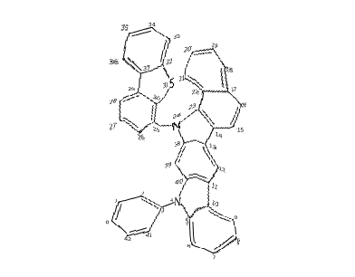 c1ccc(-n2c3ccccc3c3cc4c5ccc6ccccc6c5n(-c5cccc6c5sc5ccccc56)c4cc32)cc1